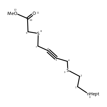 CCCCCCCCCSCC#CCSCC(=O)OC